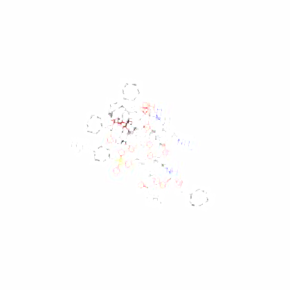 CC(=O)O[C@@H]1C[C@@H](COS(=O)(=O)c2ccc(C)cc2)O[C@H](O[C@H]2[C@H](O[C@@H]3O[C@H](CO[Si](c4ccccc4)(c4ccccc4)C(C)(C)C)[C@@H](O)[C@H]3CC(C)(C)[Si](O)(c3ccccc3)c3ccccc3)[C@H]3OC(=O)N[C@@H]3C[C@@H]2N)[C@@H]1NC(=O)OCc1ccccc1